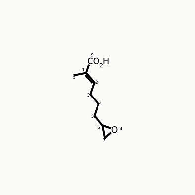 CC(=CCC[CH]C1CO1)C(=O)O